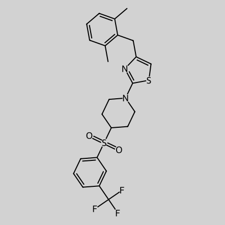 Cc1cccc(C)c1Cc1csc(N2CCC(S(=O)(=O)c3cccc(C(F)(F)F)c3)CC2)n1